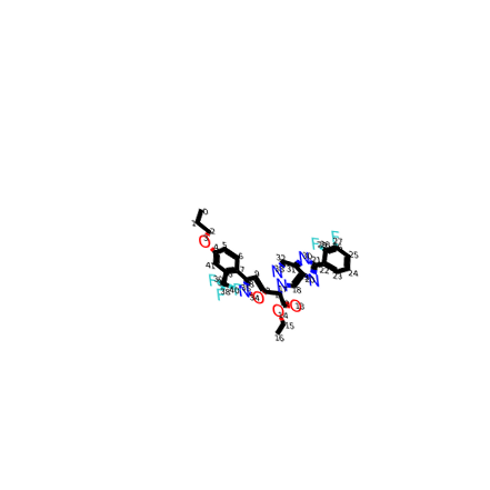 CCCOc1ccc(-c2cc(C(C(=O)OCC)n3cc4nc(-c5cccc(F)c5F)nc-4cn3)on2)c(C(F)(F)F)c1